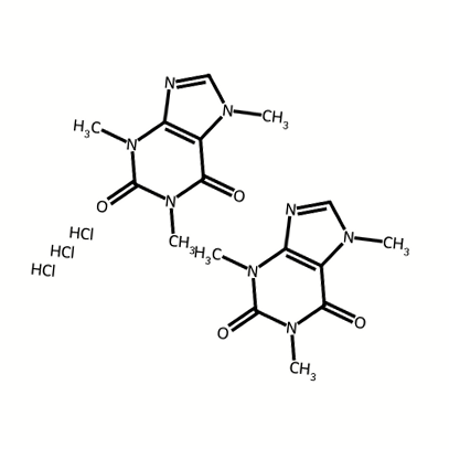 Cl.Cl.Cl.Cn1c(=O)c2c(ncn2C)n(C)c1=O.Cn1c(=O)c2c(ncn2C)n(C)c1=O